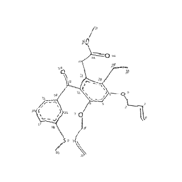 C=CCOc1cc(OCC=C)c(C(=O)c2cccc(SC)c2)c(CC(=O)OC)c1CC